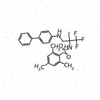 Cc1cc(C)c(S(=O)(=O)NC(I)(CNc2ccc(-c3ccccc3)cc2)C(F)(F)F)c(C)c1